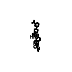 CCOC(=O)Cn1ncc2c1CCC[C@H]2NS(=O)(=O)c1ccc(-c2cccc(C(C)C)c2)cc1